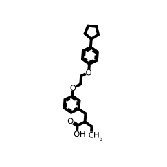 CCC(Cc1cccc(OCCOc2ccc(C3CCCC3)cc2)c1)C(=O)O